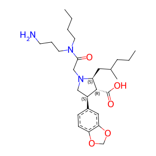 CCCCN(CCCN)C(=O)CN1C[C@H](c2ccc3c(c2)OCO3)[C@@H](C(=O)O)[C@@H]1CC(C)CCC